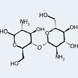 N[C@H]1[C@H](O[C@H]2[C@H](O)[C@@H](N)C(O)O[C@@H]2CO)O[C@H](CO)[C@@H](O)[C@@H]1O